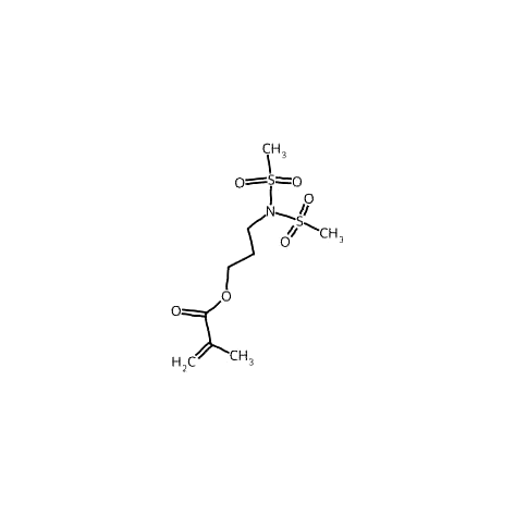 C=C(C)C(=O)OCCCN(S(C)(=O)=O)S(C)(=O)=O